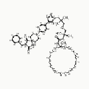 CC(C)(COCC(C)(C)Cn1cc(-c2cnc(N3CCC4(CC3)NC(=O)N(Cc3ccccc3)C4=O)nc2)nn1)CC(=O)NC1(C)CCCCCCCCCCCCCCCCCCC1